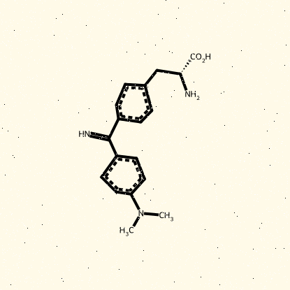 CN(C)c1ccc(C(=N)c2ccc(C[C@@H](N)C(=O)O)cc2)cc1